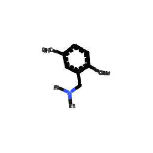 CCN(CC)Cc1cc(C=O)ccc1OC